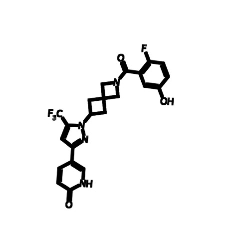 O=C(c1cc(O)ccc1F)N1CC2(CC(n3nc(-c4ccc(=O)[nH]c4)cc3C(F)(F)F)C2)C1